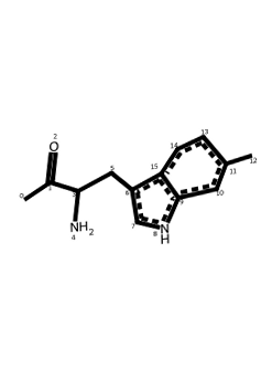 CC(=O)C(N)Cc1c[nH]c2cc(C)ccc12